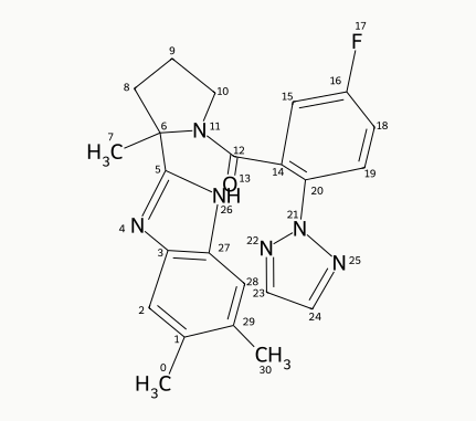 Cc1cc2nc(C3(C)CCCN3C(=O)c3cc(F)ccc3-n3nccn3)[nH]c2cc1C